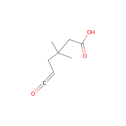 CC(C)(CC=C=O)CC(=O)O